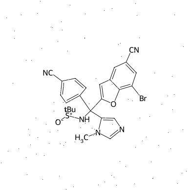 Cn1cncc1C(N[S+]([O-])C(C)(C)C)(c1ccc(C#N)cc1)c1cc2cc(C#N)cc(Br)c2o1